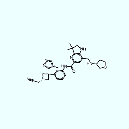 Cn1cnnc1[C@]1(c2cccc(NC(=O)c3cc(CN[C@H]4CCOC4)c4c(n3)C(C)(C)CN4)c2)C[C@H](CC#N)C1